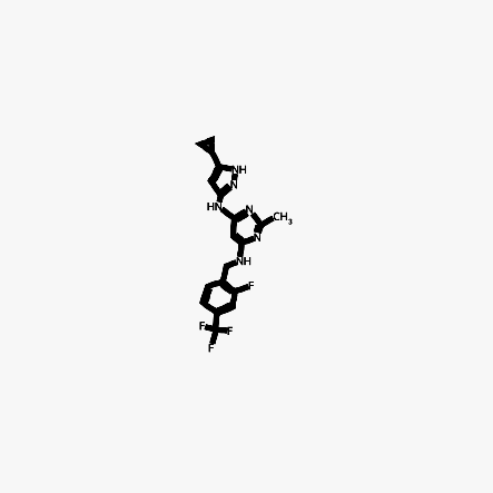 Cc1nc(NCc2ccc(C(F)(F)F)cc2F)cc(Nc2cc(C3CC3)[nH]n2)n1